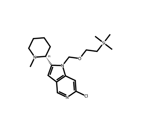 CN1CCCC[C@@H]1c1cc2cnc(Cl)cc2n1COCC[Si](C)(C)C